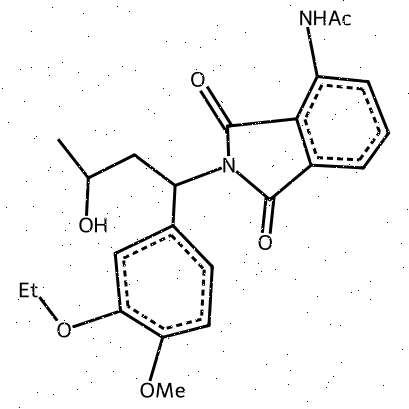 CCOc1cc(C(CC(C)O)N2C(=O)c3cccc(NC(C)=O)c3C2=O)ccc1OC